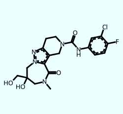 CN1CC(O)(CO)Cn2nc3c(c2C1=O)CN(C(=O)Nc1ccc(F)c(Cl)c1)CC3